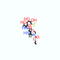 C=CCOC(=O)N1CCO[C@@H]2[C@H](CN[C@@H]2C(=O)N[C@H](C(C)C)[C@H]2OC(SC)[C@H](O)C(O)C2O)C1